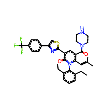 CCc1cccc(CC)c1-n1c(C=C(C)C)c(C(=O)N2CCNCC2)cc(-c2nc(-c3ccc(C(F)(F)F)cc3)cs2)c1=O